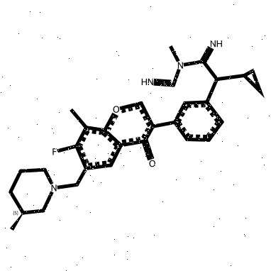 Cc1c(F)c(CN2CCC[C@H](C)C2)cc2c(=O)c(-c3cccc(C(C(=N)N(C)C=N)C4CC4)c3)coc12